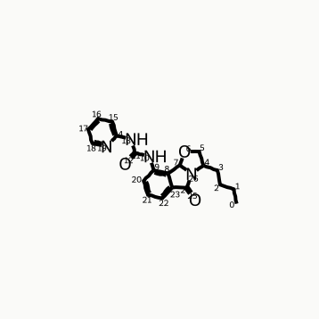 CCCCC1COC2c3c(NC(=O)Nc4ccccn4)cccc3C(=O)N12